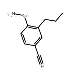 CCCc1cc(C#N)ccc1NN